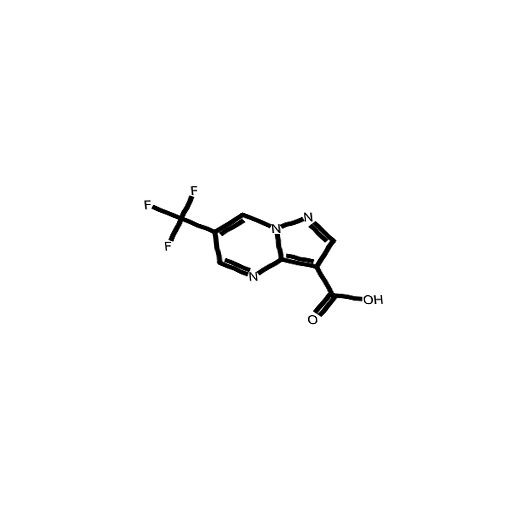 O=C(O)c1cnn2cc(C(F)(F)F)cnc12